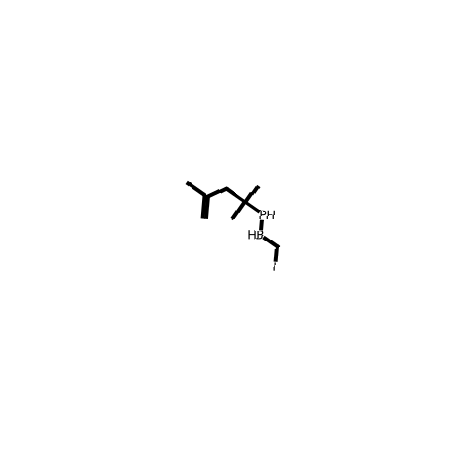 C=C(C)CC(C)(C)PBCI